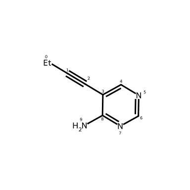 CCC#Cc1cncnc1N